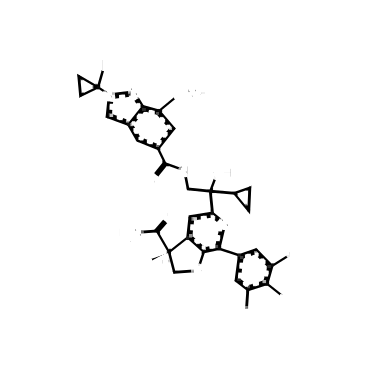 COc1cc(C(=O)NCC(O)(c2cc3c(c(-c4cc(F)c(F)c(Cl)c4)n2)OC[C@]3(C)C(N)=O)C2CC2)cc2cn(C3(F)CC3)nc12